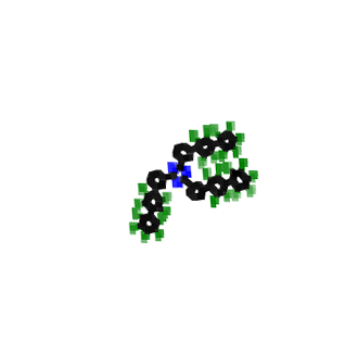 Fc1c(F)c(F)c(-c2c(F)c(F)c(-c3cccc(-c4nc(-c5cccc(-c6c(F)c(F)c(-c7c(F)c(F)c(F)c(F)c7F)c(F)c6F)c5)nc(-c5cccc(-c6c(F)c(F)c(-c7c(F)c(F)c(F)c(F)c7F)c(F)c6F)c5)n4)c3)c(F)c2F)c(F)c1F